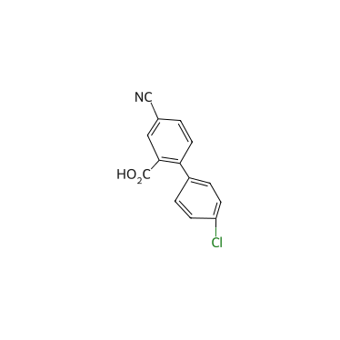 N#Cc1ccc(-c2ccc(Cl)cc2)c(C(=O)O)c1